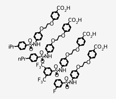 CC(C)c1ccc(S(=O)(=O)Nc2ccc(OCCOc3ccc(C(=O)O)cc3)cc2)cc1.CCCc1ccc(S(=O)(=O)Nc2ccc(OCCOc3ccc(C(=O)O)cc3)cc2)cc1.O=C(O)c1ccc(OCCOc2ccc(NS(=O)(=O)c3cc(C(F)(F)F)cc(C(F)(F)F)c3)cc2)cc1.O=C(O)c1ccc(OCCOc2ccc(NS(=O)(=O)c3cccc(F)c3)cc2)cc1